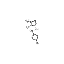 Cc1c(N[S+]([O-])c2ccc(Br)cc2)cnn1C